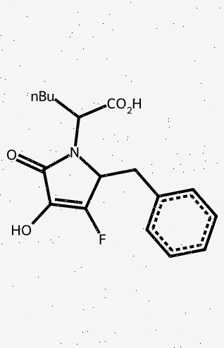 CCCCC(C(=O)O)N1C(=O)C(O)=C(F)C1Cc1ccccc1